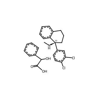 CN[C@]1(c2ccc(Cl)c(Cl)c2)CCCc2ccccc21.O=C(O)C(O)c1ccccc1